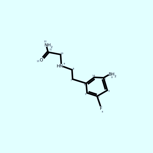 Bc1cc(F)cc(CCNCC(N)=O)c1